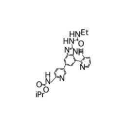 CCNC(=O)Nc1nc2cc(-c3ccc(CNC(=O)OC(C)C)nc3)cc(-c3ncccc3F)c2[nH]1